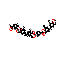 COc1c(C)cc(Cc2cc(C)c(OC(=O)c3ccc(C(=O)Oc4c(C)cc(Cc5cc(C)c(OC(=O)c6cccc(C(C)=O)c6)c(C)c5)cc4C)cc3)c(C)c2)cc1C